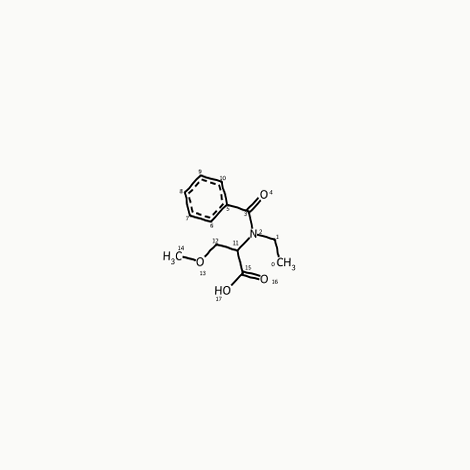 CCN(C(=O)c1ccccc1)C(COC)C(=O)O